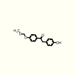 COCOc1ccc(C(=O)Cc2ccc(O)cc2)cc1